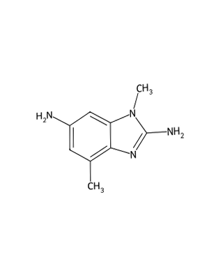 Cc1cc(N)cc2c1nc(N)n2C